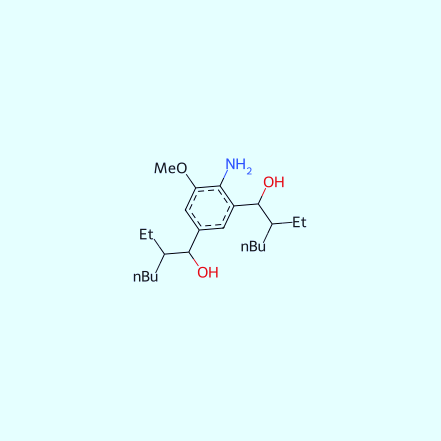 CCCCC(CC)C(O)c1cc(OC)c(N)c(C(O)C(CC)CCCC)c1